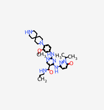 C=CCNC(=O)c1cnc(Nc2ccc(N3CCC4(CCNCC4)CC3)c(OC)c2)nc1Nc1ccc(=O)n(C(C)C)n1